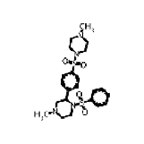 CN1CCN(S(=O)(=O)c2ccc(C3CN(C)CCN3S(=O)(=O)c3ccccc3)cc2)CC1